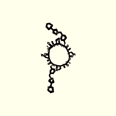 CC(C)C[C@H]1C(=O)O[C@H](Cc2cccc(Cn3cc(-c4ccccn4)cn3)c2)C(=O)N(C)[C@@H](CC(C)C)C(=O)O[C@H](C)C(=O)N(C)[C@@H](CC(C)C)C(=O)O[C@H](Cc2ccc(Cn3cc(-c4ccccn4)cn3)cc2)C(=O)N(C)[C@@H](CC(C)C)C(=O)O[C@H](C)C(=O)N1C